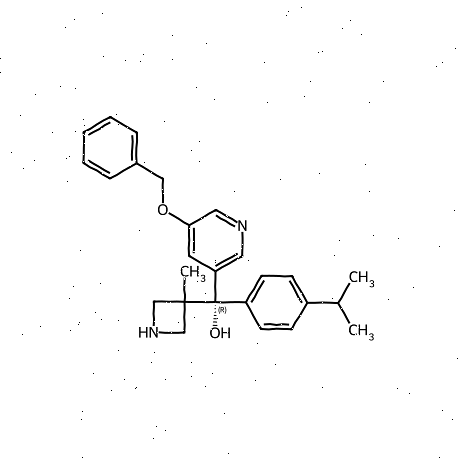 CC(C)c1ccc([C@](O)(c2cncc(OCc3ccccc3)c2)C2(C)CNC2)cc1